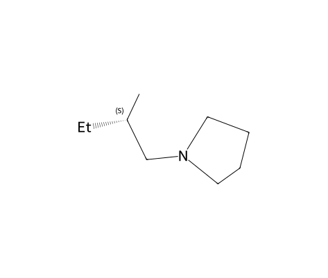 CC[C@H](C)CN1CCCC1